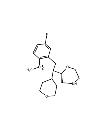 COc1ccc(F)cc1C[C@](O)(C1CCOCC1)[C@@H]1CNCCO1